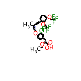 CCO[C@@H](Cc1ccc(OC/C=C(/C)C#CC2(OCC(F)(F)F)C=CC=C(OCC(F)(F)F)C2)c(Cl)c1)C(=O)O